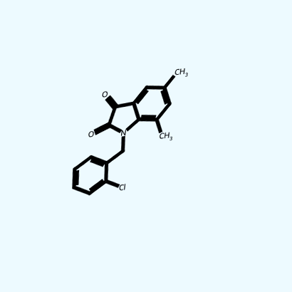 Cc1cc(C)c2c(c1)C(=O)C(=O)N2Cc1ccccc1Cl